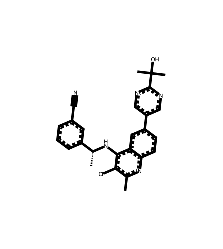 Cc1nc2ccc(-c3cnc(C(C)(C)O)nc3)cc2c(N[C@H](C)c2cccc(C#N)c2)c1Cl